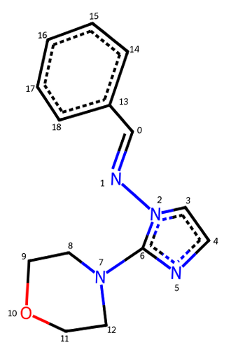 C(=Nn1ccnc1N1CCOCC1)c1ccccc1